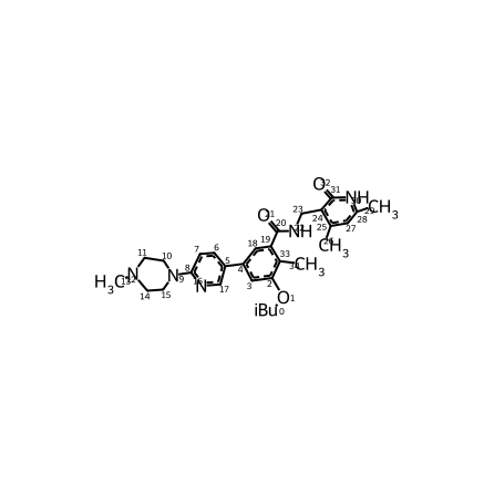 CCC(C)Oc1cc(-c2ccc(N3CCN(C)CC3)nc2)cc(C(=O)NCc2c(C)cc(C)[nH]c2=O)c1C